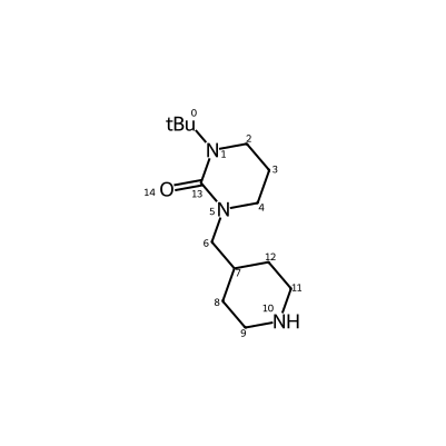 CC(C)(C)N1CCCN(CC2CCNCC2)C1=O